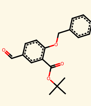 CC(C)(C)OC(=O)c1cc(C=O)ccc1OCc1ccccc1